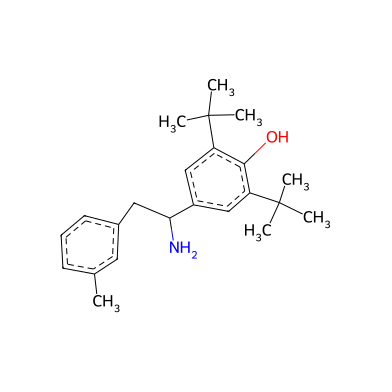 Cc1cccc(CC(N)c2cc(C(C)(C)C)c(O)c(C(C)(C)C)c2)c1